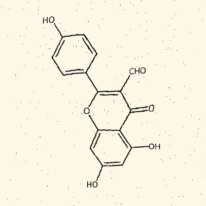 O=Cc1c(-c2ccc(O)cc2)oc2cc(O)cc(O)c2c1=O